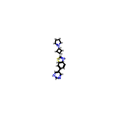 c1ncc(-c2ccc3nc([C@H]4C[C@H](N5CCCC5)C4)sc3c2)cn1